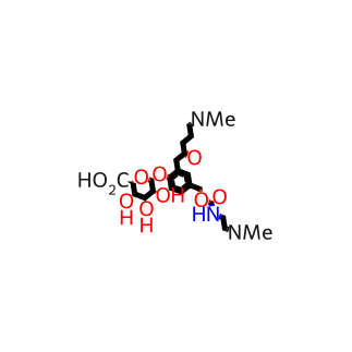 CNCCCC(=O)Cc1cc(COC(=O)NCCNC)ccc1O[C@H]1O[C@@H](C(=O)O)[C@H](O)[C@@H](O)[C@@H]1O